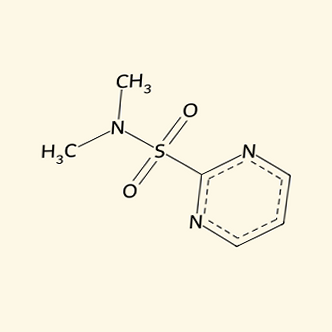 CN(C)S(=O)(=O)c1ncccn1